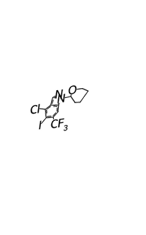 FC(F)(F)c1cc2c(cnn2C2CCCCO2)c(Cl)c1I